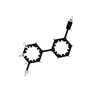 N#Cc1cccc(-c2cnnc(Cl)c2)c1